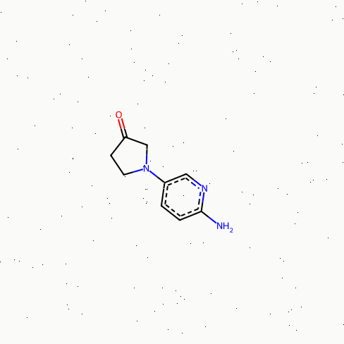 Nc1ccc(N2CCC(=O)C2)cn1